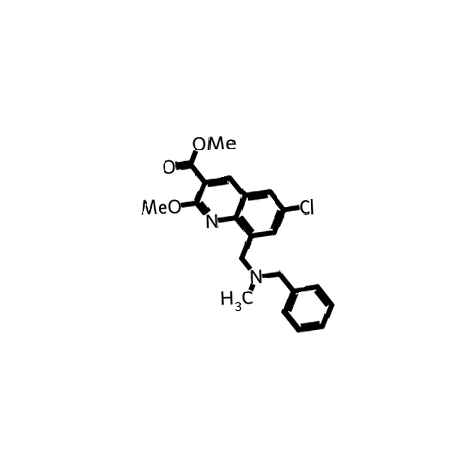 COC(=O)c1cc2cc(Cl)cc(CN(C)Cc3ccccc3)c2nc1OC